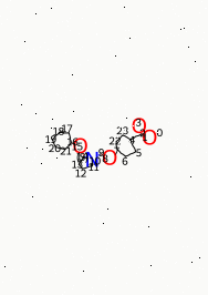 COC(=O)C1CCC(OCN2CCC[C@@H]2OC2CCCCC2)CC1